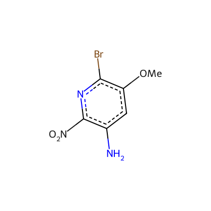 COc1cc(N)c([N+](=O)[O-])nc1Br